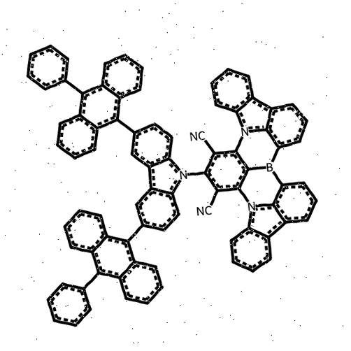 N#Cc1c(-n2c3ccc(-c4c5ccccc5c(-c5ccccc5)c5ccccc45)cc3c3cc(-c4c5ccccc5c(-c5ccccc5)c5ccccc45)ccc32)c(C#N)c2c3c1-n1c4ccccc4c4cccc(c41)B3c1cccc3c4ccccc4n-2c13